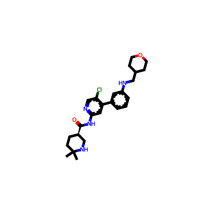 CC1(C)CC[C@@H](C(=O)Nc2cc(-c3cccc(NCC4CCOCC4)c3)c(Cl)cn2)CN1